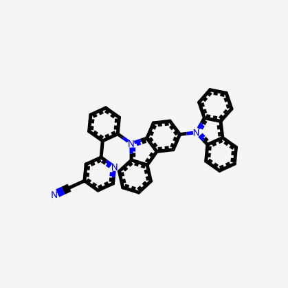 N#Cc1ccnc(-c2ccccc2-n2c3ccccc3c3cc(-n4c5ccccc5c5ccccc54)ccc32)c1